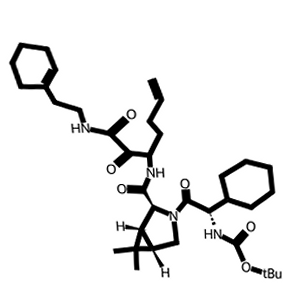 C=CCCC(NC(=O)[C@@H]1[C@@H]2[C@H](CN1C(=O)[C@@H](NC(=O)OC(C)(C)C)C1CCCCC1)C2(C)C)C(=O)C(=O)NCCC1=CCCCC1